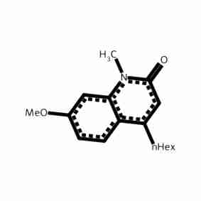 CCCCCCc1cc(=O)n(C)c2cc(OC)ccc12